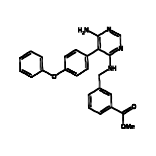 COC(=O)c1cccc(CNc2ncnc(N)c2-c2ccc(Oc3ccccc3)cc2)c1